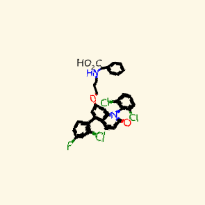 O=C(O)[C@@H](NCCCOc1cc(-c2ccc(F)cc2Cl)c2ccc(=O)n(-c3c(Cl)cccc3Cl)c2c1)c1ccccc1